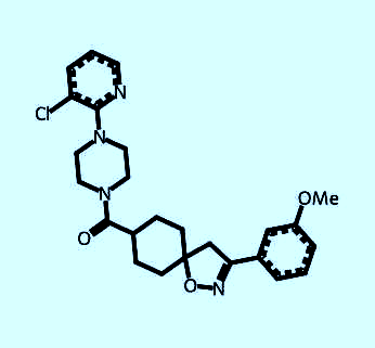 COc1cccc(C2=NOC3(CCC(C(=O)N4CCN(c5ncccc5Cl)CC4)CC3)C2)c1